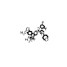 Cc1cc2c(cc1Cl)C1(CCN(C(=O)[C@@H]3CN(C4CCOCC4)C[C@H]3c3ccc(F)cc3F)CC1)CN2S(C)(=O)=O